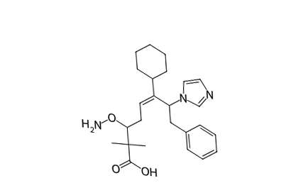 CC(C)(C(=O)O)C(CC=C(C1CCCCC1)C(Cc1ccccc1)n1ccnc1)ON